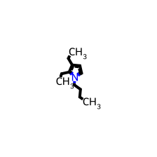 CCCCn1ccc(CC)c1CC